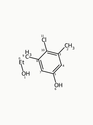 CCO.Cc1cc(O)cc(C)c1Cl